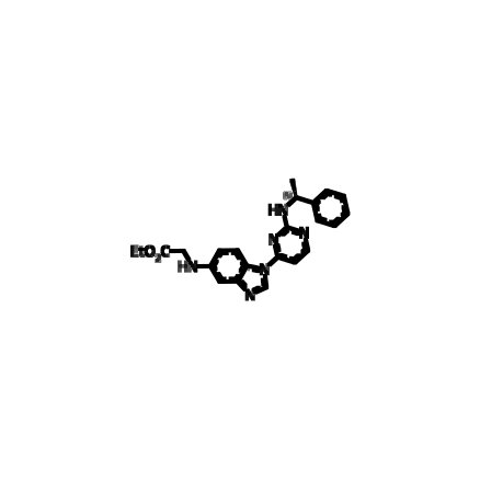 CCOC(=O)CNc1ccc2c(c1)ncn2-c1ccnc(N[C@@H](C)c2ccccc2)n1